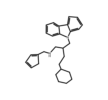 C1=CCC(CNCC(CCC2CCCCC2)Cn2c3ccccc3c3ccccc32)=C1